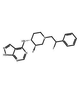 FC(CN1CC[C@@H](Nc2ncnc3[nH]ncc23)[C@H](F)C1)c1ccccc1